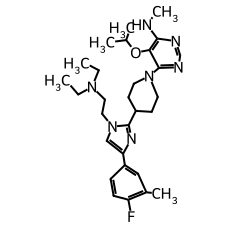 CCN(CC)CCn1cc(-c2ccc(F)c(C)c2)nc1C1CCN(c2ncnc(NC)c2OC(C)C)CC1